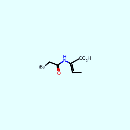 CC=C(NC(=O)CC(C)CC)C(=O)O